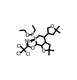 C=P1(P(CC)OCC)CC(C2COC(C)(C)C2)C2CC(C)(C)OC2C1OC(=N)C(Cl)(Cl)Cl